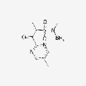 BN(C)S(=O)(=O)C(C)C(=O)c1ncc(C)cn1